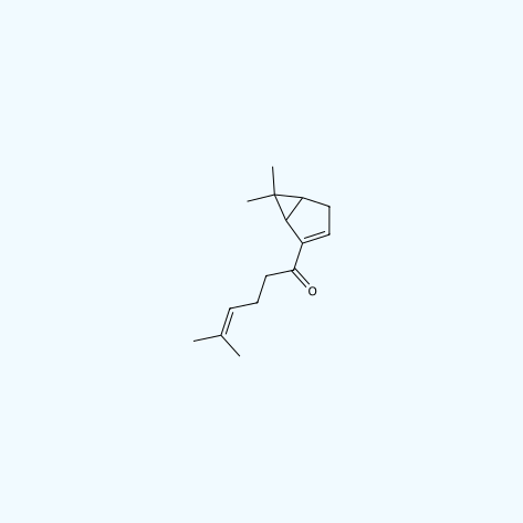 CC(C)=CCCC(=O)C1=CCC2C1C2(C)C